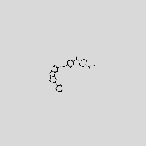 CC(C)(C)OC(=O)N1CCN(C(=O)c2ccc(CNc3cnc4[nH]c5cnc(-c6cccnc6)cc5c4c3)cc2)CC1